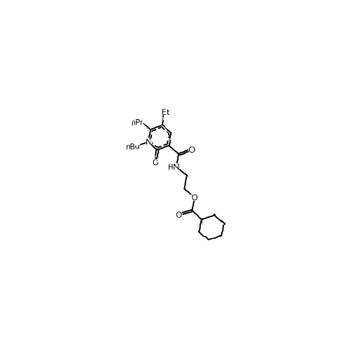 CCCCn1c(CCC)c(CC)cc(C(=O)NCCOC(=O)C2CCCCC2)c1=O